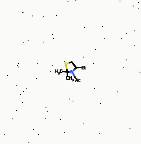 CCC1CSC(C)(C)N1C(C)=O